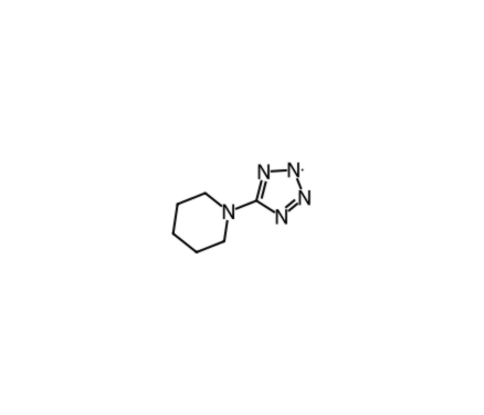 C1CCN(C2=N[N]N=N2)CC1